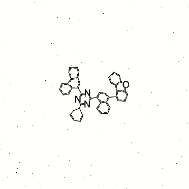 C1=CCC(c2nc(-c3ccc(-c4cccc5oc6ccccc6c45)c4ccccc34)nc(-c3cc4ccccc4c4ccccc34)n2)C=C1